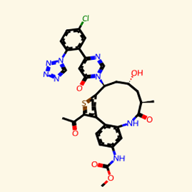 COC(=O)Nc1ccc2c(c1)NC(=O)[C@H](C)C[C@@H](O)C[C@H](n1cnc(-c3cc(Cl)ccc3-n3cnnn3)cc1=O)c1cc-2c(C(C)=O)s1